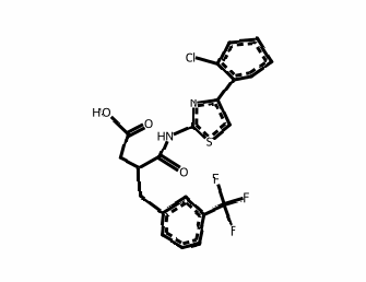 O=C(O)CC(Cc1cccc(C(F)(F)F)c1)C(=O)Nc1nc(-c2ccccc2Cl)cs1